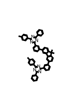 Cc1ccc(-c2nc(-c3ccccc3)nc(-c3cccc(-c4ccc5c(c4)-c4cc(-c6cccc(-c7nc(-c8ccccc8)nc(-c8ccc(C)cc8)n7)c6)ccc4C5(C)C)c3)n2)cc1